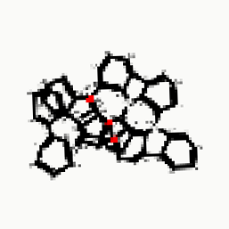 O=C1c2cccc(-n3c4c(-n5c6ccccc6c6ccccc65)cccc4c4cccc(-n5c6ccccc6c6ccccc65)c43)c2C(=O)N1c1ccccc1-c1ccccc1